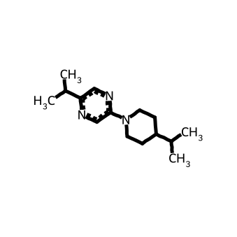 CC(C)c1cnc(N2CCC(C(C)C)CC2)cn1